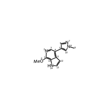 COc1ncc(-c2cnn(C)c2)c2cc[nH]c12